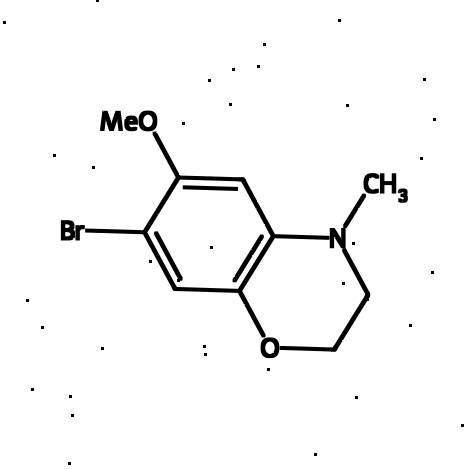 COc1cc2c(cc1Br)OCCN2C